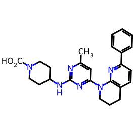 Cc1cc(N2CCCc3ccc(-c4ccccc4)nc32)nc(NC2CCN(C(=O)O)CC2)n1